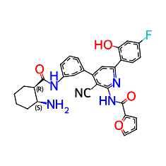 N#Cc1c(-c2cccc(NC(=O)[C@@H]3CCCC[C@@H]3N)c2)cc(-c2ccc(F)cc2O)nc1NC(=O)c1ccco1